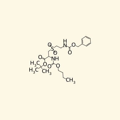 CCCCOC(=O)NC(CS(=O)(=O)CCNC(=O)OCc1ccccc1)C(=O)OC(C)(C)C